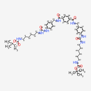 CC(C)(C)OC(=O)NCCCCCCNC(=O)Nc1ccc(CNC(=O)c2ccc(C(=O)NCc3ccc(NC(=O)NCCCCCCNC(=O)OC(C)(C)C)cc3)cc2)cc1